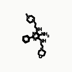 CN1CCN(CCNc2nc(-c3ccccc3)nc(NCCN3CCOCC3)c2N)CC1